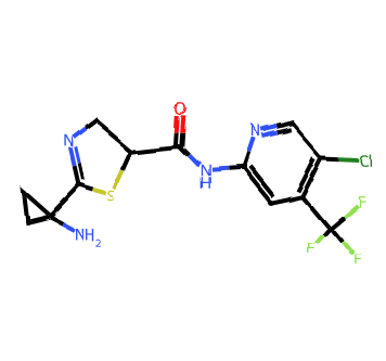 NC1(C2=NCC(C(=O)Nc3cc(C(F)(F)F)c(Cl)cn3)S2)CC1